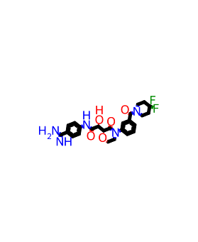 N=C(N)c1ccc(NC(=O)[C@H](O)[C@H]2OCCN(c3cccc(C(=O)N4CCC(F)(F)CC4)c3)C2=O)cc1